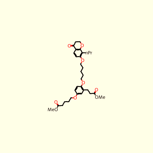 CCCc1c(OCCCCCOc2ccc(OCCCCC(=O)OC)cc2CCC(=O)OC)ccc2c1OCCC2=O